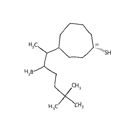 BC(CCC(C)(C)C)C(C)C1CCCC[C@H](S)CC1